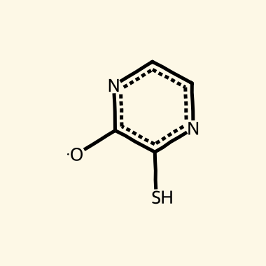 [O]c1nccnc1S